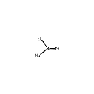 C[CH2][Bi]([Na])[CH2]C